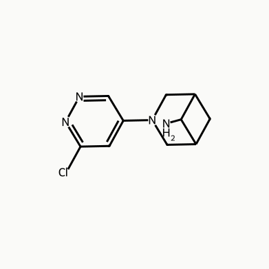 NC1C2CC1CN(c1cnnc(Cl)c1)C2